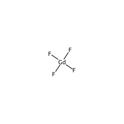 [F][Gd]([F])([F])[F]